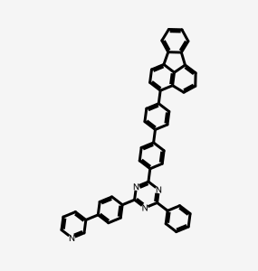 c1ccc(-c2nc(-c3ccc(-c4ccc(-c5ccc6c7c(cccc57)-c5ccccc5-6)cc4)cc3)nc(-c3ccc(-c4cccnc4)cc3)n2)cc1